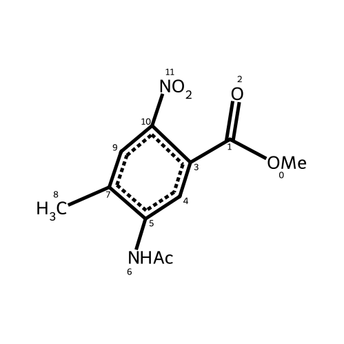 COC(=O)c1cc(NC(C)=O)c(C)cc1[N+](=O)[O-]